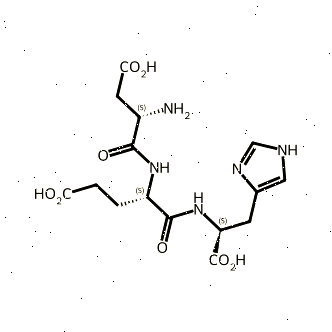 N[C@@H](CC(=O)O)C(=O)N[C@@H](CCC(=O)O)C(=O)N[C@@H](Cc1c[nH]cn1)C(=O)O